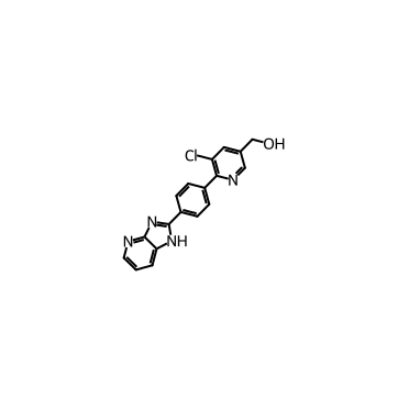 OCc1cnc(-c2ccc(-c3nc4ncccc4[nH]3)cc2)c(Cl)c1